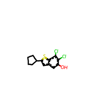 Oc1cc2cc(C3CCCC3)sc2c(Cl)c1Cl